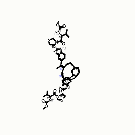 COC(=O)N[C@H](C(=O)N1CSC[C@H]1c1nc2cc(/C(C)=C3/C=C\[C@H](C)CCc4ccc(cc4-c4ccc5[nH]c([C@@H]6CSCN6C(=O)[C@@H](NC(=O)OC)C(C)C)nc5c4)CC3)ccc2[nH]1)C(C)C